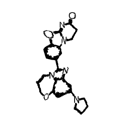 O=C1CCN2C(=N1)Oc1ccc(-c3nc4cc(N5CCCC5)cc5c4n3CCCO5)cc12